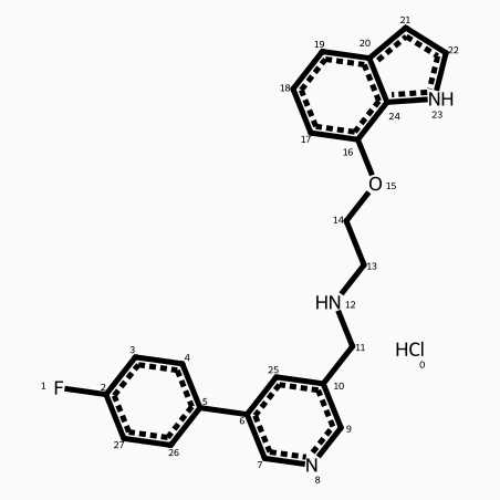 Cl.Fc1ccc(-c2cncc(CNCCOc3cccc4cc[nH]c34)c2)cc1